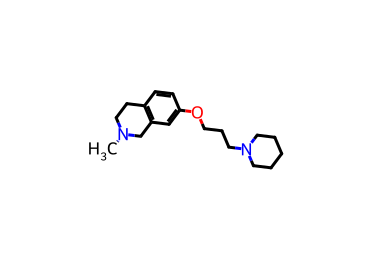 CN1CCc2ccc(OCCCN3CCCCC3)cc2C1